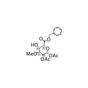 CO[C@H]1[C@H](O)[C@@H](C(=O)OCc2ccccc2)OC(OC(C)=O)[C@@H]1OC(C)=O